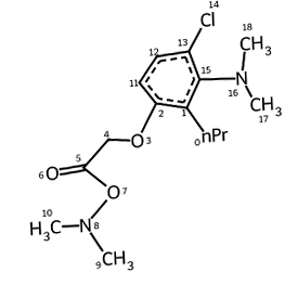 CCCc1c(OCC(=O)ON(C)C)ccc(Cl)c1N(C)C